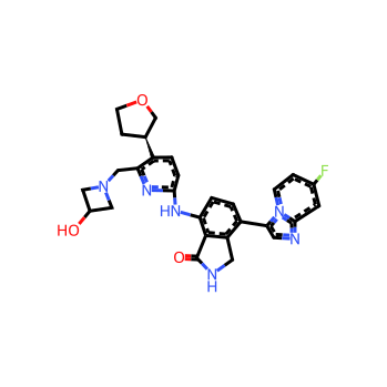 O=C1NCc2c(-c3cnc4cc(F)ccn34)ccc(Nc3ccc([C@H]4CCOC4)c(CN4CC(O)C4)n3)c21